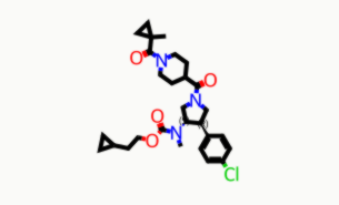 CN(C(=O)OCCC1CC1)[C@@H]1CN(C(=O)C2CCN(C(=O)C3(C)CC3)CC2)C[C@H]1c1ccc(Cl)cc1